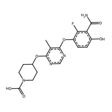 Cc1c(Oc2ccc(O)c(C(N)=O)c2F)ncnc1OC1CCN(C(=O)O)CC1